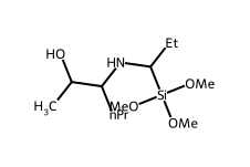 CCCC(NC(CC)[Si](OC)(OC)OC)C(C)O